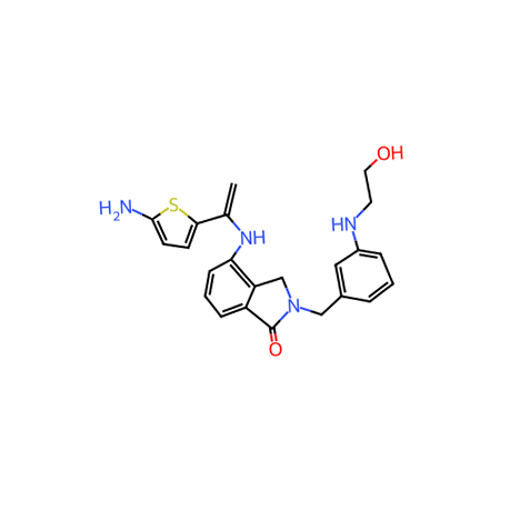 C=C(Nc1cccc2c1CN(Cc1cccc(NCCO)c1)C2=O)c1ccc(N)s1